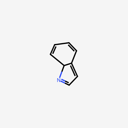 C1=CC2=CC=NC2C=C1